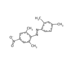 Cc1ccc(N=Nc2c(C)cc([N+](=O)[O-])cc2C)c(C)c1